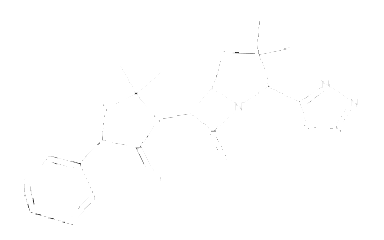 CC1(C)SC2C(N3C(=O)C(c4ccccc4)NC3(C)C)C(=O)N2C1c1nnn[nH]1